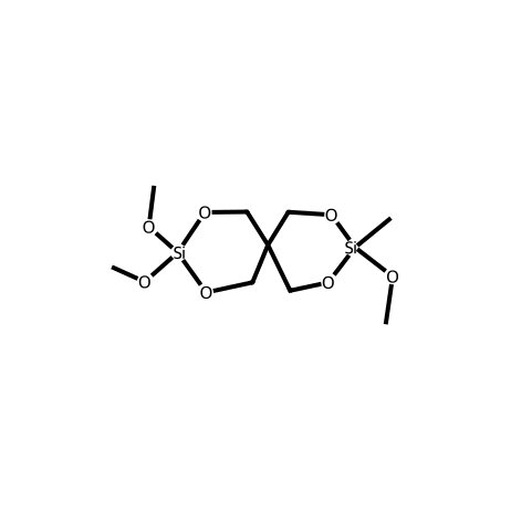 CO[Si]1(C)OCC2(CO1)CO[Si](OC)(OC)OC2